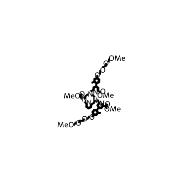 COCCOCCOCCOc1ccc(-c2cc(CN3CCN(CC(=O)OC)Cc4cccc(n4)CN(Cc4cc(-c5ccc(OCCOCCOCCOC)cc5C)cc(C(=O)OC)n4)CC3)nc(C(=O)OC)c2)c(C)c1